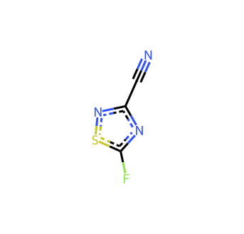 N#Cc1nsc(F)n1